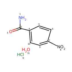 Cl.NC(=O)c1ccc([N+](=O)[O-])cc1.O